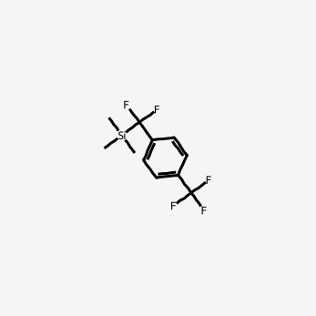 C[Si](C)(C)C(F)(F)c1ccc(C(F)(F)F)cc1